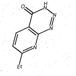 CCc1ccc2c(=O)[nH]nnc2n1